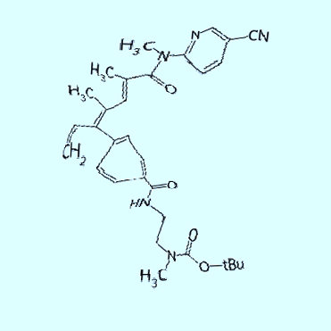 C=C/C(=C(C)/C=C(\C)C(=O)N(C)c1ccc(C#N)cn1)c1ccc(C(=O)NCCN(C)C(=O)OC(C)(C)C)cc1